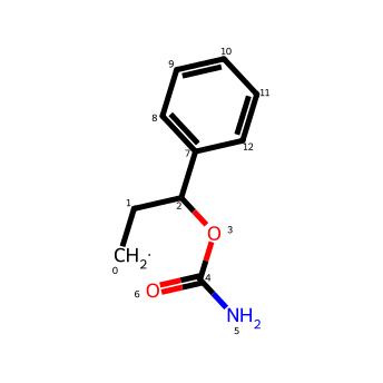 [CH2]CC(OC(N)=O)c1ccccc1